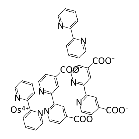 O=C([O-])c1ccnc(-c2cc(C(=O)[O-])ccn2)c1.O=C([O-])c1ccnc(-c2cc(C(=O)[O-])ccn2)c1.[Os+4].c1ccc(-c2ccccn2)nc1.c1ccc(-c2ccccn2)nc1